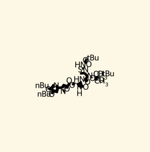 CCCCOc1cnc(-c2cc(C(=O)OC[C@H]3NC(=O)[C@H]3NC(=O)/C(=N\OC(C)(C)C(=O)OC(C)(C)C)C3CSC(NC(=O)OC(C)(C)C)=N3)on2)cc1OCCCC